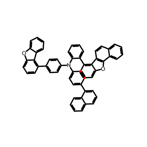 c1ccc(N(c2ccc(-c3cccc4ccccc34)cc2)c2ccc(-c3cccc4oc5ccccc5c34)cc2)c(-c2cccc3oc4c5ccccc5ccc4c23)c1